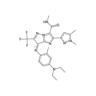 CCN(CC)c1ccc(/N=C2/C(C(F)(F)F)=Nn3c2nc(-c2cc(C)n(C)n2)c3C(=O)NC)c(C)c1